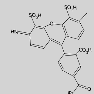 Cc1ccc2c(-c3ccc(C(=O)C(C)C)cc3C(=O)O)c3ccc(=N)c(S(=O)(=O)O)c-3oc2c1S(=O)(=O)O